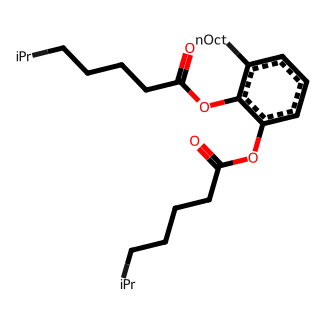 CCCCCCCCc1cccc(OC(=O)CCCCC(C)C)c1OC(=O)CCCCC(C)C